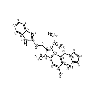 CCOC(=O)c1c(CSc2nc3ccccc3[nH]2)n(C)c2cc(Br)c(O)c(Cn3ccnc3)c12.Cl